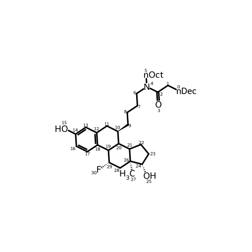 CCCCCCCCCCCC(=O)N(CCCCCCCC)CCCC[C@@H]1Cc2cc(O)ccc2C2C1C1CC[C@H](O)[C@@]1(C)C[C@@H]2F